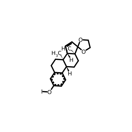 C[C@@]12CCc3cc(OI)ccc3[C@H]1CC[C@@]1(C)[C@H]2C=CC12OCCO2